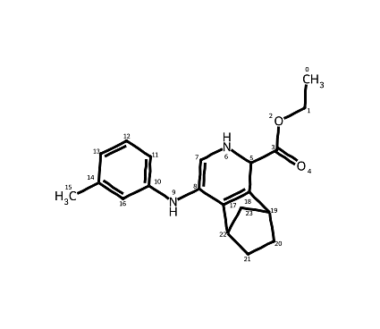 CCOC(=O)C1NC=C(Nc2cccc(C)c2)C2=C1C1CCC2C1